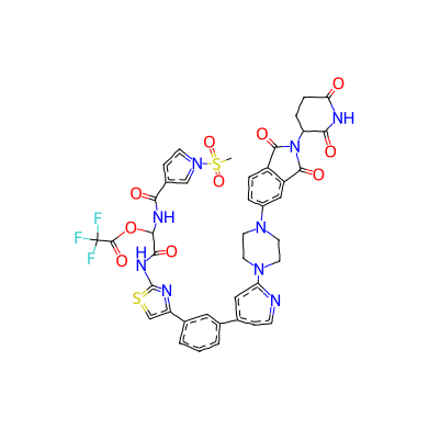 CS(=O)(=O)n1ccc(C(=O)NC(OC(=O)C(F)(F)F)C(=O)Nc2nc(-c3cccc(-c4ccnc(N5CCN(c6ccc7c(c6)C(=O)N(C6CCC(=O)NC6=O)C7=O)CC5)c4)c3)cs2)c1